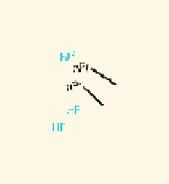 CCCC.CCCC.F.F.F